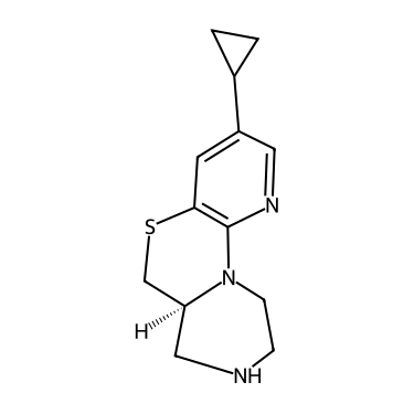 c1nc2c(cc1C1CC1)SC[C@@H]1CNCCN21